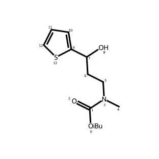 CC(C)COC(=O)N(C)CCC(O)c1cccs1